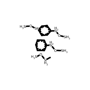 C[SiH2]O[SiH3].[SiH3]O[SiH2]c1ccccc1.[SiH3]O[SiH2]c1ccccc1.[SiH3]O[SiH3]